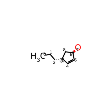 CCC[C@H]1C=CC(=O)C1